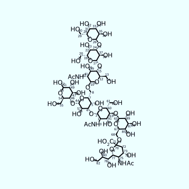 CC(=O)N[C@H]1[C@H](O[C@H]2[C@@H](O)[C@@H](CO[C@@H]3O[C@H](CO)[C@@H](O[C@@H]4O[C@H](CO)[C@H](O)[C@H](O[C@H]5O[C@H](CO)[C@H](O)[C@H](O)[C@H]5O)[C@H]4O)[C@H](O)[C@H]3NC(C)=O)O[C@@H](O[C@H]3[C@H](O)[C@@H](O)C(O)O[C@@H]3CO)[C@@H]2O)O[C@H](CO)[C@@H](O[C@@H]2O[C@H](CO[C@]3(C(=O)O)C[C@H](O)[C@@H](NC(C)=O)[C@H]([C@H](O)[C@H](O)CO)O3)[C@H](O)[C@H](O)[C@H]2O)[C@@H]1O